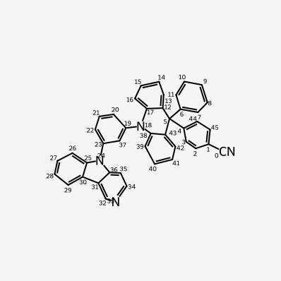 N#Cc1ccc(C2(c3ccccc3)c3ccccc3N(c3cccc(-n4c5ccccc5c5cnccc54)c3)c3ccccc32)cc1